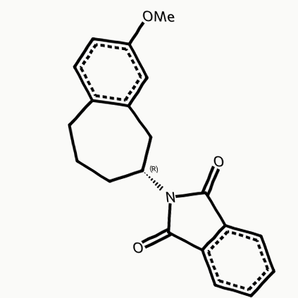 COc1ccc2c(c1)C[C@H](N1C(=O)c3ccccc3C1=O)CCC2